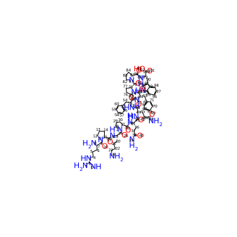 N=C(N)NCCC[C@H](N)C(=O)N1CCC[C@H]1C(=O)N[C@@H](CCCCN)C(=O)N1CCC[C@H]1C(=O)N[C@@H](CCC(N)=O)C(=O)N[C@@H](CCC(N)=O)C(=O)N[C@@H](Cc1ccccc1)C(=O)N[C@@H](Cc1ccccc1)C(=O)N1CCC[C@@H]1C(=O)N1CCC[C@H]1C(=O)N[C@@H](Cc1c[nH]c2ccccc12)C(=O)O